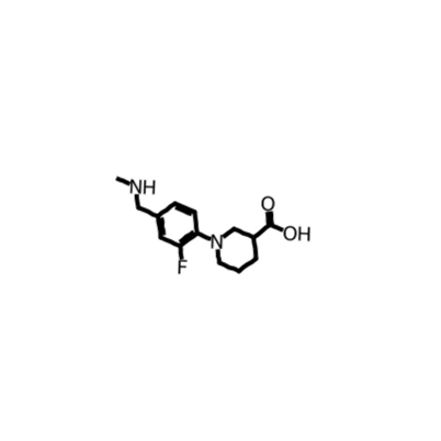 CNCc1ccc(N2CCCC(C(=O)O)C2)c(F)c1